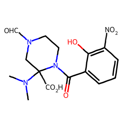 CN(C)C1(C(=O)O)CN(C=O)CCN1C(=O)c1cccc([N+](=O)[O-])c1O